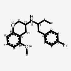 CCC(Cc1ccc(F)cc1)NC1COc2cccc(OC)c2C1